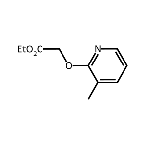 CCOC(=O)COc1ncccc1C